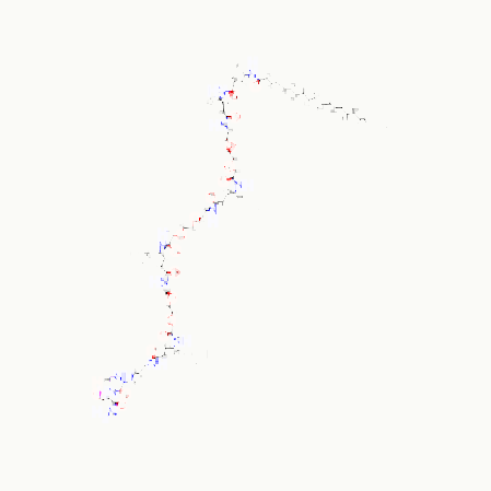 C[C@@H](O)[C@H](NC(=O)[C@H](CCCCNC(=O)CC[C@H](NC(=O)COCCOCCNC(=O)CC[C@H](NC(=O)COCCOCCNC(=O)CC[C@H](NC(=O)COCCOCCNC(=O)CC[C@H](NC(=O)CC[C@H](NC(=O)CCCCCCCCCCCCCCCCC(=O)O)C(=O)O)C(=O)O)C(=O)O)C(=O)O)C(=O)O)NI)C(N)=O